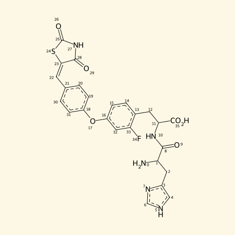 NC(Cc1c[nH]cn1)C(=O)NC(Cc1ccc(Oc2ccc(C=C3SC(=O)NC3=O)cc2)cc1F)C(=O)O